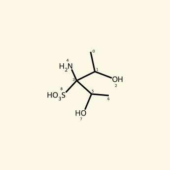 CC(O)C(N)(C(C)O)S(=O)(=O)O